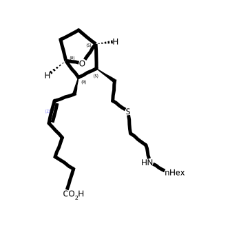 CCCCCCNCCSCC[C@H]1[C@@H](C/C=C\CCCC(=O)O)[C@H]2CC[C@@H]1O2